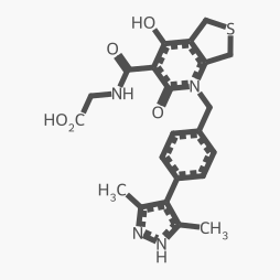 Cc1n[nH]c(C)c1-c1ccc(Cn2c3c(c(O)c(C(=O)NCC(=O)O)c2=O)CSC3)cc1